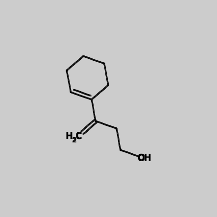 C=C(CCO)C1=CCCCC1